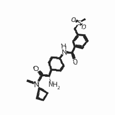 CN(C(=O)[C@@H](N)C1CCC(NC(=O)c2cccc(CS(C)(=O)=O)c2)CC1)C1CCC1